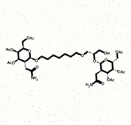 CC(=O)OC[C@H]1O[C@@H](OCCCCCCCOC[C@H](CO)O[C@@H]2O[C@H](COC(C)=O)[C@H](OC(C)=O)[C@H](OC(C)=O)[C@H]2CC(N)=O)[C@H](CC(N)=O)[C@@H](OC(C)=O)[C@H]1OC(C)=O